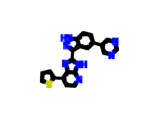 c1csc(-c2ccnc3[nH]c(-c4n[nH]c5ccc(-c6cncnc6)cc45)nc23)c1